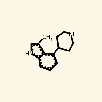 Cc1c[nH]c2cccc(C3CCNCC3)c12